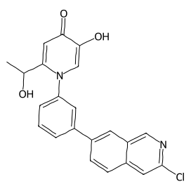 CC(O)c1cc(=O)c(O)cn1-c1cccc(-c2ccc3cc(Cl)ncc3c2)c1